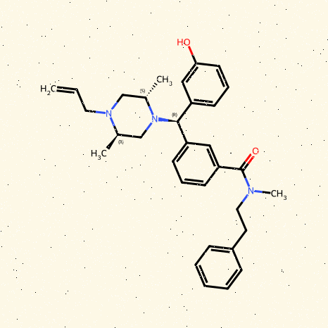 C=CCN1C[C@H](C)N([C@@H](c2cccc(O)c2)c2cccc(C(=O)N(C)CCc3ccccc3)c2)C[C@H]1C